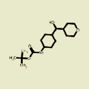 CC(C)(C)OC(=O)NC1CCC(C(O)C2CCOCC2)CC1